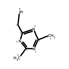 Cc1nc(C)nc(CC(C)C)n1